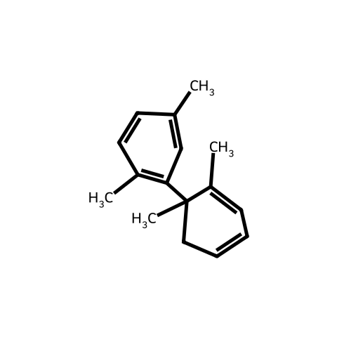 CC1=CC=CCC1(C)c1cc(C)ccc1C